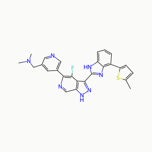 Cc1ccc(-c2cccc3[nH]c(-c4n[nH]c5cnc(-c6cncc(CN(C)C)c6)c(F)c45)nc23)s1